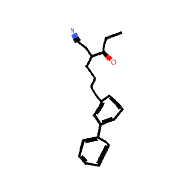 CCC(=O)C(C#N)CCCc1cccc(-c2ccccc2)c1